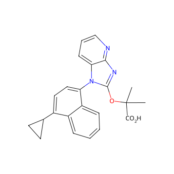 CC(C)(Oc1nc2ncccc2n1-c1ccc(C2CC2)c2ccccc12)C(=O)O